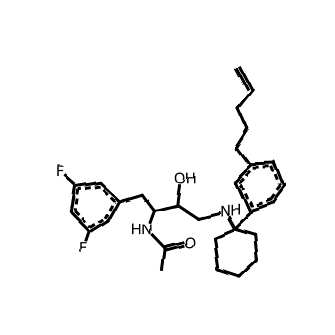 C=CCCCc1cccc(C2(NCC(O)C(Cc3cc(F)cc(F)c3)NC(C)=O)CCCCC2)c1